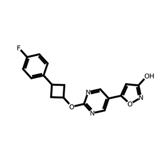 Oc1cc(-c2cnc(OC3CC(c4ccc(F)cc4)C3)nc2)on1